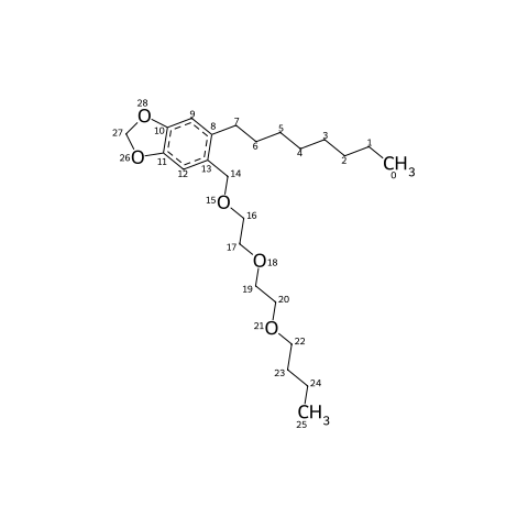 CCCCCCCCc1cc2c(cc1COCCOCCOCCCC)OCO2